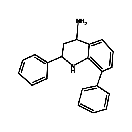 NC1CC(c2ccccc2)Nc2c(-c3ccccc3)cccc21